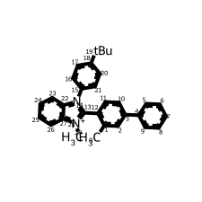 Cc1cc(-c2ccccc2)ccc1-c1n(-c2ccc(C(C)(C)C)cc2)c2ccccc2[n+]1C